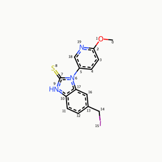 COc1ccc(-n2c(=S)[nH]c3ccc(CI)cc32)cn1